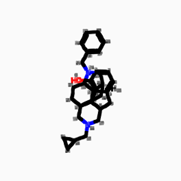 Oc1cccc2c1C13C(C2)CN(CC2CC2)CC12CCC1C3[C@@H](CN1Cc1ccccc1)C2